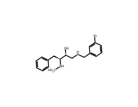 CCc1cccc(CNC[C@H](O)[C@H](Cc2ccccc2)NC(=O)O)c1